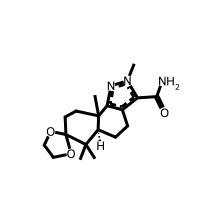 Cn1nc2c(c1C(N)=O)CC[C@@H]1C2(C)CCC2(OCCO2)C1(C)C